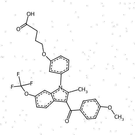 COc1ccc(C(=O)c2c(C)n(-c3cccc(OCCCC(=O)O)c3)c3cc(OC(F)(F)F)ccc23)cc1